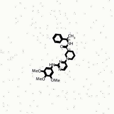 COc1cc(Nc2nccc(N3CCC[C@H](C(=O)N[C@H](C)c4ccccc4)C3)n2)cc(OC)c1OC